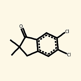 CC1(C)Cc2cc(Cl)c(Cl)cc2C1=O